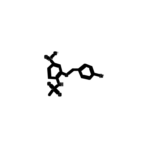 CS(=O)(=O)Nc1ccc([N+](=O)[O-])cc1OCc1ccc(Br)cc1